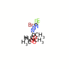 CCOC(=O)C(C)(C)Oc1c(C)cc(CN2CCN(c3ncc(C(F)(F)F)cc3Br)CC2)cc1C